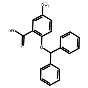 CCCC(=O)c1cc([N+](=O)[O-])ccc1OC(c1ccccc1)c1ccccc1